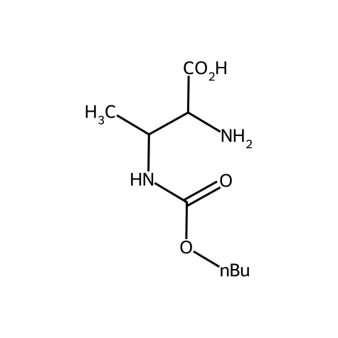 CCCCOC(=O)NC(C)C(N)C(=O)O